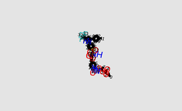 CCOC(=O)OC(C)O/N=[N+](/[O-])N1CCC(COC(=O)NS(=O)(=O)c2ccc(-n3nc(C(F)(F)F)cc3-c3ccc(C)cc3)cc2)CC1